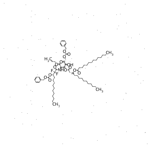 C=CCO[C@@H]1O[C@H](COC(=O)OCc2ccccc2)[C@@H](O)[C@H](OC(=O)C[C@@H](CCCCCCCCCCC)OC(=O)CCCCCCCCCCCCC)[C@H]1NC(=O)C(F)(F)C(CCCCCCCCCCC)OC(=O)OCc1ccccc1